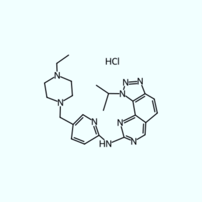 CCN1CCN(Cc2ccc(Nc3ncc4ccc5nnn(C(C)C)c5c4n3)nc2)CC1.Cl